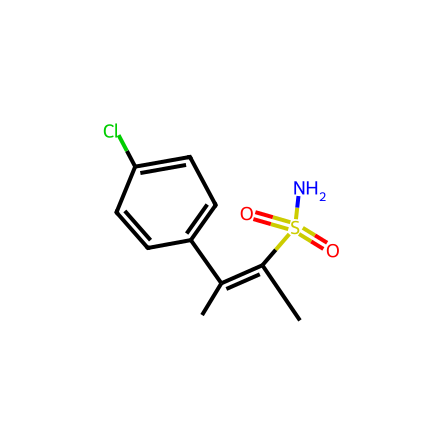 CC(=C(C)S(N)(=O)=O)c1ccc(Cl)cc1